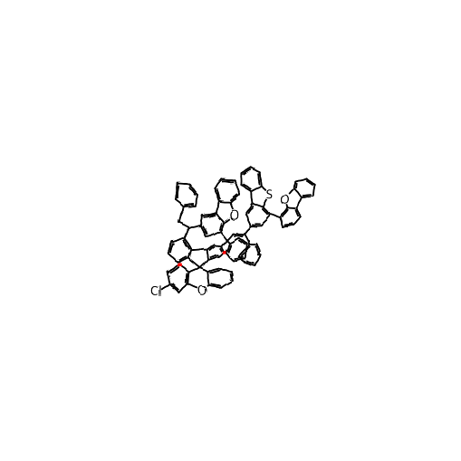 Clc1ccc2c(c1)Oc1ccccc1C21c2ccc(/C=C(\c3ccccc3)c3cc(-c4cccc5c4oc4ccccc45)c4sc5ccccc5c4c3)cc2-c2c(C(Cc3ccccc3)c3cc(-c4ccccc4)c4oc5ccccc5c4c3)cccc21